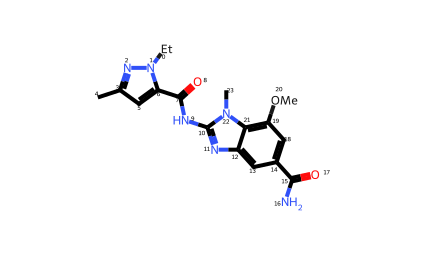 CCn1nc(C)cc1C(=O)Nc1nc2cc(C(N)=O)cc(OC)c2n1C